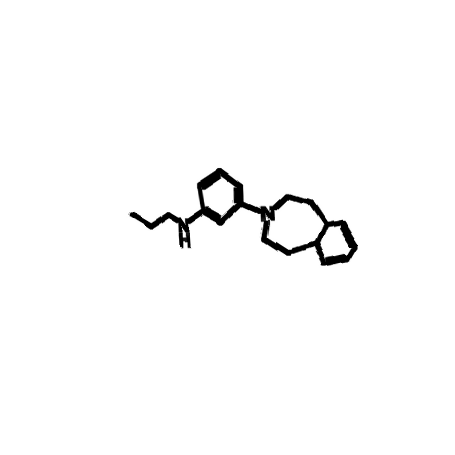 CCCNc1cccc(N2CCC3C=CC=CC3CC2)c1